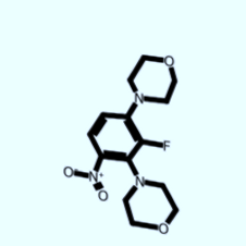 O=[N+]([O-])c1ccc(N2CCOCC2)c(F)c1N1CCOCC1